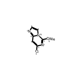 COc1nc(Cl)cc2nccn12